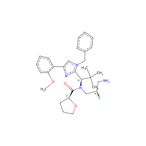 COc1ccccc1-c1cn(Cc2ccccc2)c([C@H](N(C[C@H](F)CN)C(=O)[C@@H]2CCCO2)C(C)(C)C)n1